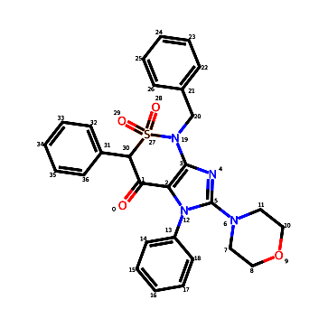 O=C1c2c(nc(N3CCOCC3)n2-c2ccccc2)N(Cc2ccccc2)S(=O)(=O)C1c1ccccc1